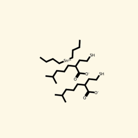 CC(C)CCCC(CCS)C(=O)[O-].CC(C)CCCC(CCS)C(=O)[O-].CCC[CH2][Sn+2][CH2]CCC